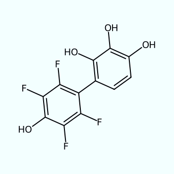 Oc1ccc(-c2c(F)c(F)c(O)c(F)c2F)c(O)c1O